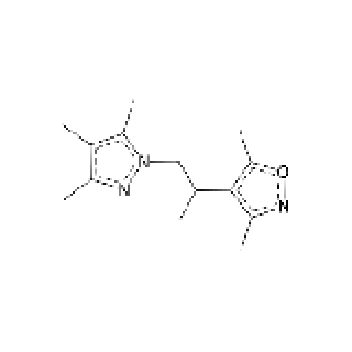 Cc1nn(CC(C)c2c(C)noc2C)c(C)c1C